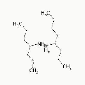 CCCC(N)CCC.CCCCC(N)CCC